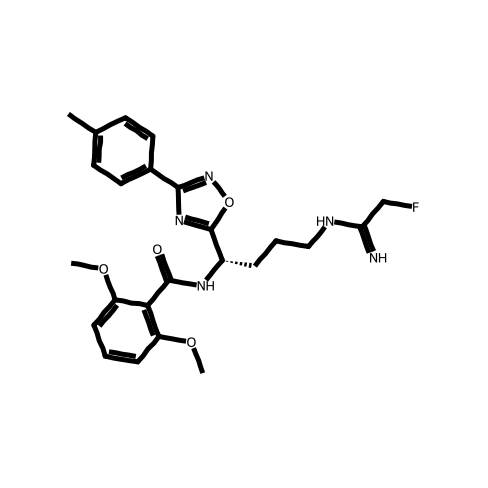 COc1cccc(OC)c1C(=O)N[C@@H](CCCNC(=N)CF)c1nc(-c2ccc(C)cc2)no1